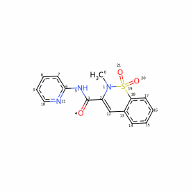 CN1C(C(=O)Nc2ccccn2)=Cc2ccccc2S1(=O)=O